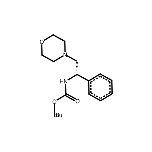 CC(C)(C)OC(=O)N[C@H](CN1CCOCC1)c1ccccc1